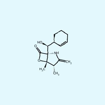 C=C1N[C@@]2([C@@H](O)[C@@H]3C=CCCC3)C(=O)O[C@@]2(C)[C@H]1C